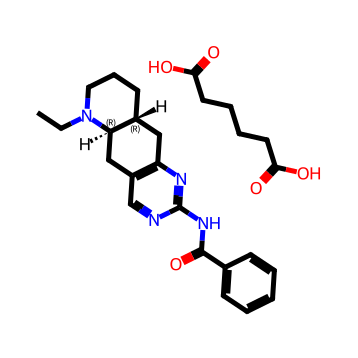 CCN1CCC[C@@H]2Cc3nc(NC(=O)c4ccccc4)ncc3C[C@H]21.O=C(O)CCCCC(=O)O